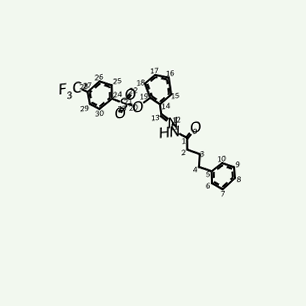 O=C(CCCc1ccccc1)N/N=C/c1ccccc1OS(=O)(=O)c1ccc(C(F)(F)F)cc1